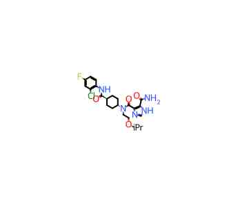 CC(C)OCCN(C(=O)c1nc[nH]c1C(N)=O)[C@H]1CC[C@H](C(=O)Nc2ccc(F)cc2Cl)CC1